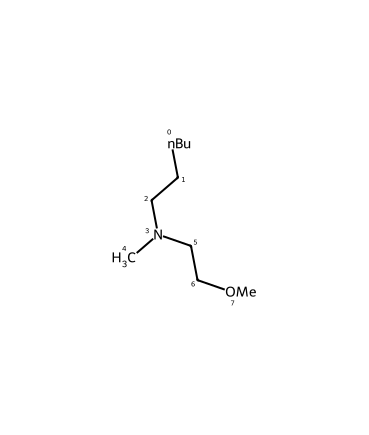 CCCCCCN(C)CCOC